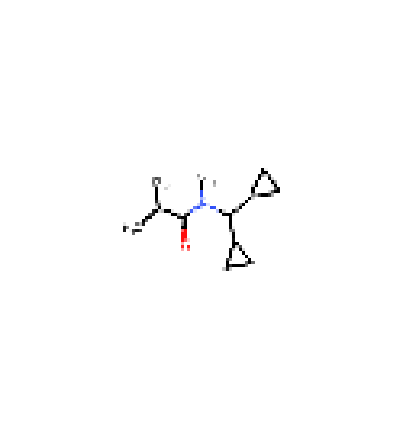 CC(C)C(=O)N(C)C(C1CC1)C1CC1